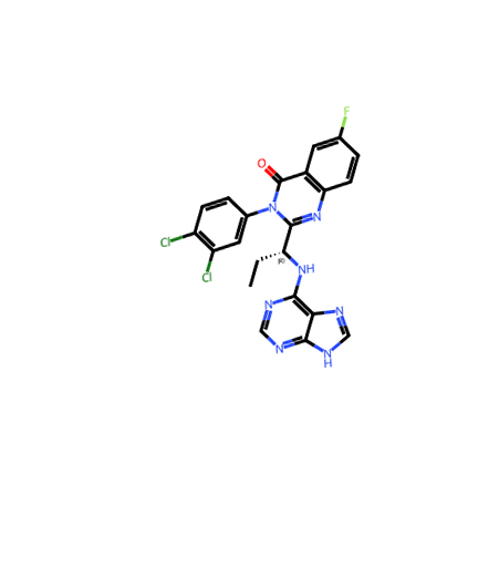 CC[C@@H](Nc1ncnc2[nH]cnc12)c1nc2ccc(F)cc2c(=O)n1-c1ccc(Cl)c(Cl)c1